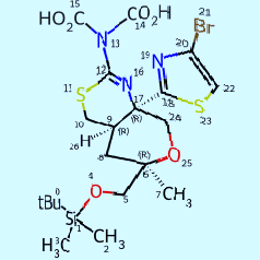 CC(C)(C)[Si](C)(C)OC[C@@]1(C)C[C@H]2CSC(N(C(=O)O)C(=O)O)=N[C@@]2(c2nc(Br)cs2)CO1